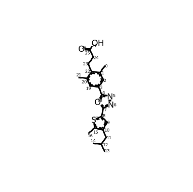 Cc1cc(-c2nnc(-c3cc(CC(C)C)c(C)s3)o2)cc(C)c1CCC(=O)O